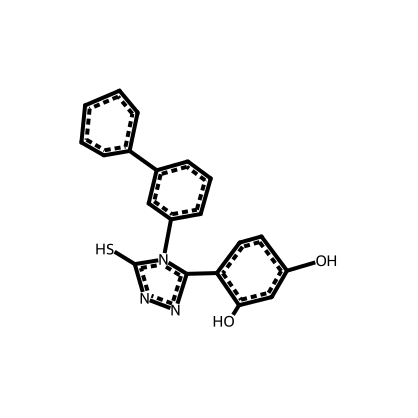 Oc1ccc(-c2nnc(S)n2-c2cccc(-c3ccccc3)c2)c(O)c1